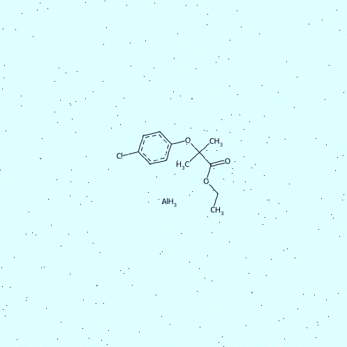 CCOC(=O)C(C)(C)Oc1ccc(Cl)cc1.[AlH3]